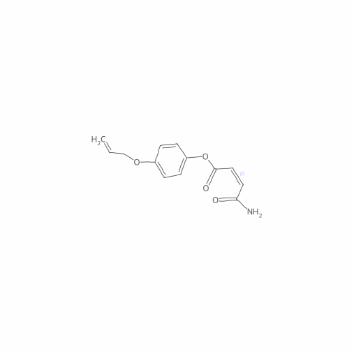 C=CCOc1ccc(OC(=O)/C=C\C(N)=O)cc1